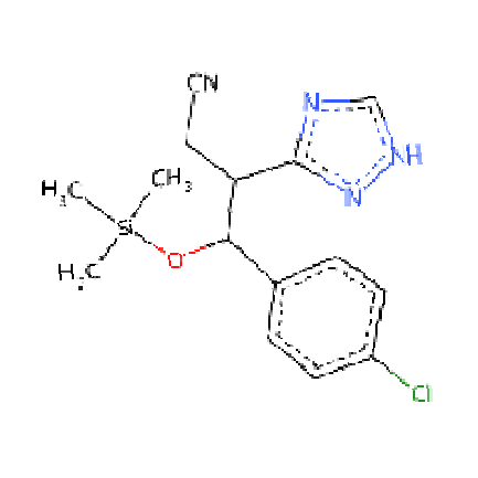 C[Si](C)(C)OC(c1ccc(Cl)cc1)C(CC#N)c1nc[nH]n1